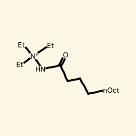 CCCCCCCCCCCC(=O)N[N+](CC)(CC)CC